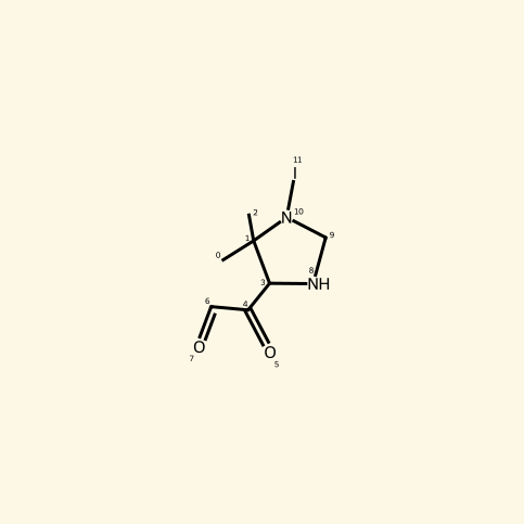 CC1(C)C(C(=O)C=O)NCN1I